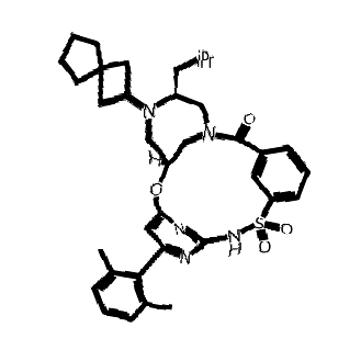 Cc1cccc(C)c1-c1cc2nc(n1)NS(=O)(=O)c1cccc(c1)C(=O)N1C[C@@H](CN(C3CC4(CCCC4)C3)[C@@H](CC(C)C)C1)O2